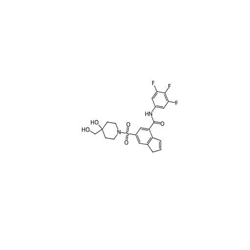 O=C(Nc1cc(F)c(F)c(F)c1)c1cc(S(=O)(=O)N2CCC(O)(CO)CC2)cc2c1C=CC2